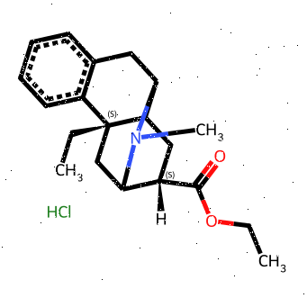 CCOC(=O)[C@H]1CC2C3Cc4ccccc4[C@@]2(CC)CC1N3C.Cl